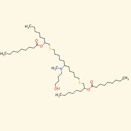 CCCCCCCCC(=O)OC(CCCCCC)CSCCCCCC(CCCCCSCC(CCCCCC)OC(=O)CCCCCCCC)N(C)CCCCO